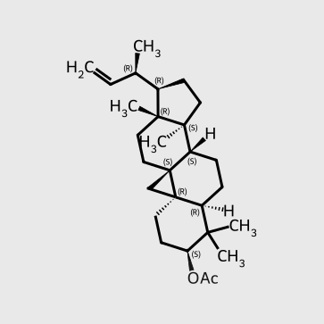 C=C[C@@H](C)[C@H]1CC[C@@]2(C)[C@@H]3CC[C@H]4C(C)(C)[C@@H](OC(C)=O)CC[C@@]45C[C@@]35CC[C@]12C